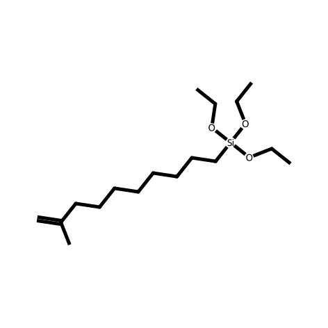 C=C(C)CCCCCCCC[Si](OCC)(OCC)OCC